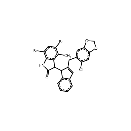 Cc1c(Br)cc(Br)c2c1C(C1C(Cc3cc4c(cc3Cl)OCO4)=Cc3ccccc31)C(=O)N2